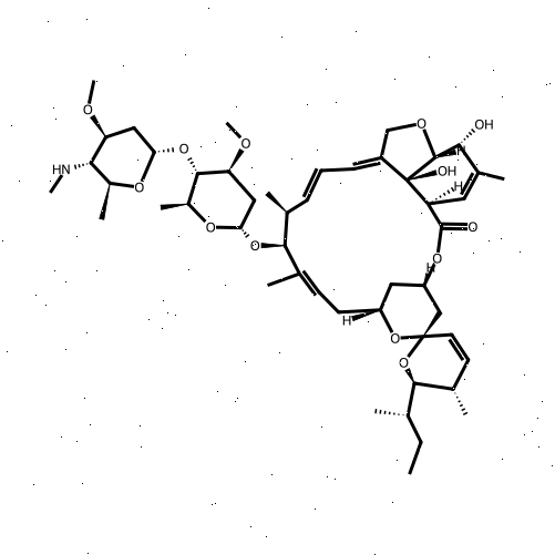 CC[C@H](C)[C@H]1O[C@]2(C=C[C@@H]1C)C[C@@H]1C[C@@H](C/C=C(\C)[C@@H](O[C@H]3C[C@H](OC)[C@@H](O[C@H]4C[C@H](OC)[C@@H](NC)[C@H](C)O4)[C@H](C)O3)[C@@H](C)/C=C/C=C3\CO[C@@H]4[C@H](O)C(C)=C[C@@H](C(=O)O1)[C@]34O)O2